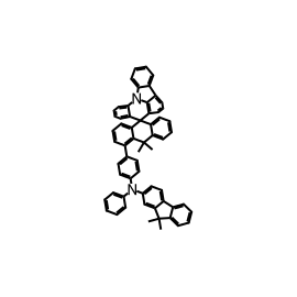 CC1(C)c2ccccc2-c2ccc(N(c3ccccc3)c3ccc(-c4cccc5c4C(C)(C)c4ccccc4C54c5ccccc5-n5c6ccccc6c6cccc4c65)cc3)cc21